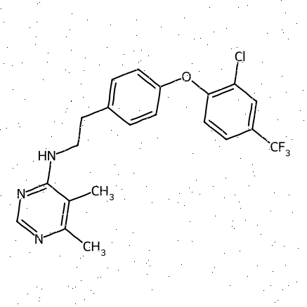 Cc1ncnc(NCCc2ccc(Oc3ccc(C(F)(F)F)cc3Cl)cc2)c1C